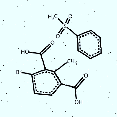 CS(=O)(=O)c1ccccc1.Cc1c(C(=O)O)ccc(Br)c1C(=O)O